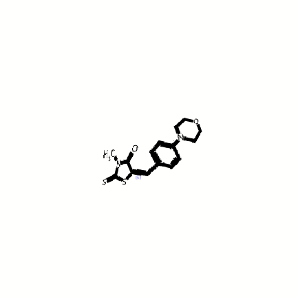 CN1C(=O)/C(=C\c2ccc(N3CCOCC3)cc2)SC1=S